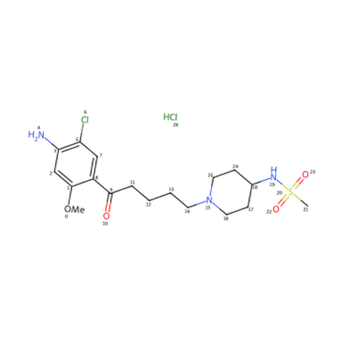 COc1cc(N)c(Cl)cc1C(=O)CCCCN1CCC(NS(C)(=O)=O)CC1.Cl